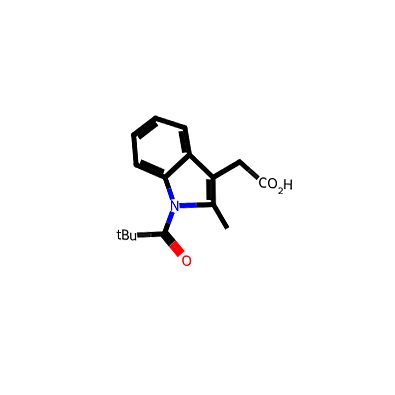 Cc1c(CC(=O)O)c2ccccc2n1C(=O)C(C)(C)C